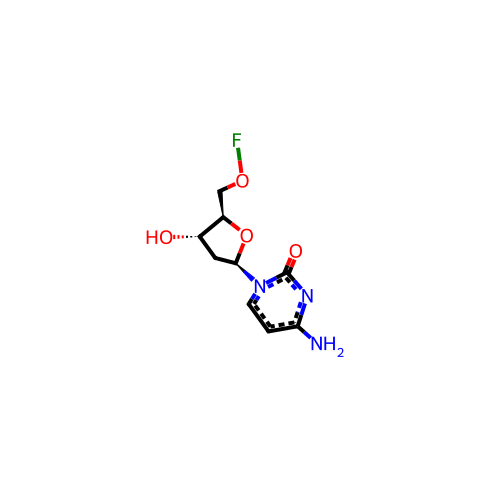 Nc1ccn([C@H]2C[C@H](O)[C@@H](COF)O2)c(=O)n1